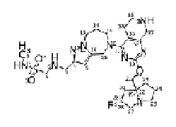 CNS(=O)(=O)CNCc1cc2n(n1)CCCN(c1nc(OC[C@@]34CCCN3C[C@H](F)C4)nc3c1CCNC3)C2